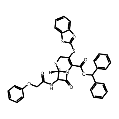 O=C(COc1ccccc1)NC1C(=O)N2C(C(=O)OC(c3ccccc3)c3ccccc3)=C(Sc3nc4ccccc4s3)CS[C@@H]12